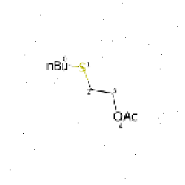 CCCCSCCOC(C)=O